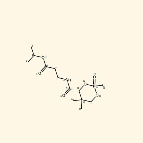 CC(C)OC(=O)CCNC(=O)[C@@H]1OP(=O)(Cl)OCC1(C)C